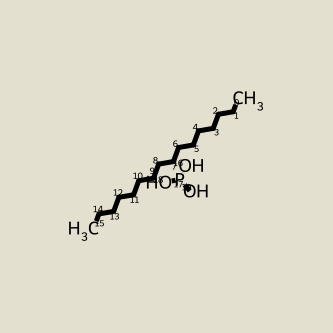 CCCCCCCCCCCCCCCC.OP(O)O